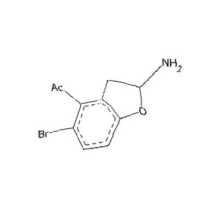 CC(=O)c1c(Br)ccc2c1CC(N)O2